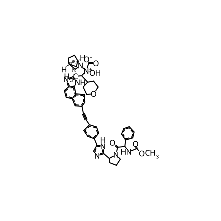 COC(=O)NC(C(=O)N1CCCC1c1ncc(-c2ccc(C#Cc3ccc4c(ccc5nc([C@@H]6[C@H]7CC[C@H](C7)N6[N+](O)(C(=O)[O-])C(C)C6CCOCC6)[nH]c54)c3)cc2)[nH]1)c1ccccc1